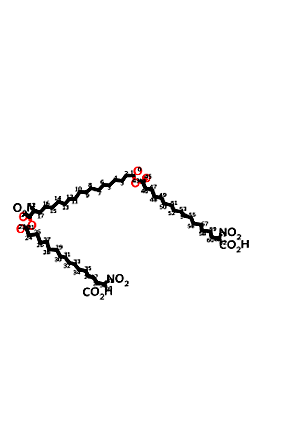 O=C(CCCCCCCCCCCCCCCCC(C(=O)OC(=O)CCCCCCCCCCCCCCCC(C(=O)O)[N+](=O)[O-])[N+](=O)[O-])OC(=O)CCCCCCCCCCCCCCCC(C(=O)O)[N+](=O)[O-]